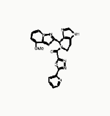 COc1cccn2nc(C3c4nc[nH]c4CCN3C(=O)c3nnc(-c4ccccn4)o3)cc12